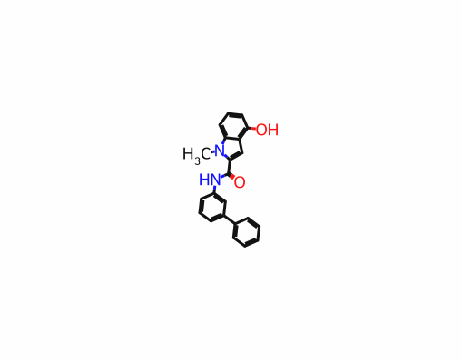 Cn1c(C(=O)Nc2cccc(-c3ccccc3)c2)cc2c(O)cccc21